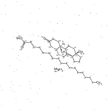 CCCCCCCCCCCCCCCCCC(=O)O.C[C@@]12CCCC1=C1CCC3CC(=O)CC[C@]3(C)[C@H]1CC2.[MgH2]